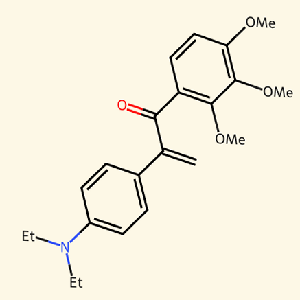 C=C(C(=O)c1ccc(OC)c(OC)c1OC)c1ccc(N(CC)CC)cc1